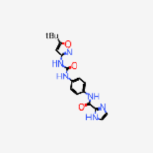 CC(C)(C)c1cc(NC(=O)Nc2ccc(NC(=O)c3ncc[nH]3)cc2)no1